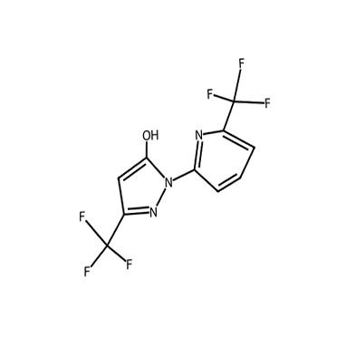 Oc1cc(C(F)(F)F)nn1-c1cccc(C(F)(F)F)n1